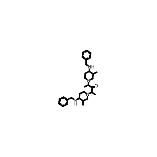 CC1CN(C(C)C(=O)C(C)N2CCC(NCc3ccccc3)C(C)C2)CCC1NCc1ccccc1